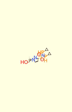 C[C@@H](CO)n1ccc(S(=O)(=O)N(PC2CC2)PC2CC2)n1